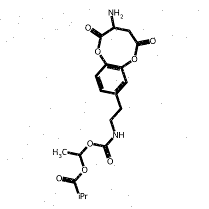 CC(OC(=O)NCCc1ccc2c(c1)OC(=O)CC(N)C(=O)O2)OC(=O)C(C)C